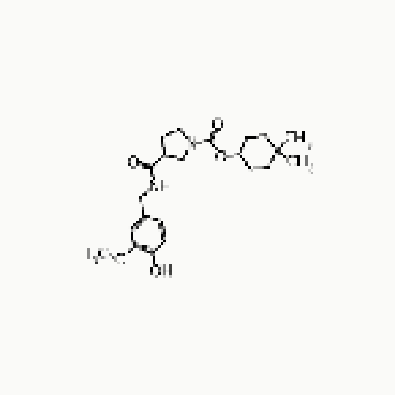 COc1cc(CNC(=O)[C@H]2CCN(C(=O)OC3CCC(C)(C)CC3)C2)ccc1O